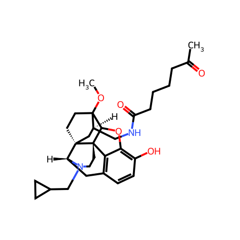 COC12CC[C@@]3(C[C@@H]1CNC(=O)CCCCC(C)=O)[C@H]1Cc4ccc(O)c5c4[C@@]3(CCN1CC1CC1)C2O5